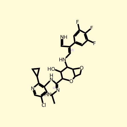 CC(=N)/N=C(\Nc1cc(Cl)cnc1C1CC1)C1OC2COC2C(N/C=C(\C=N)c2cc(F)c(F)c(F)c2)C1O